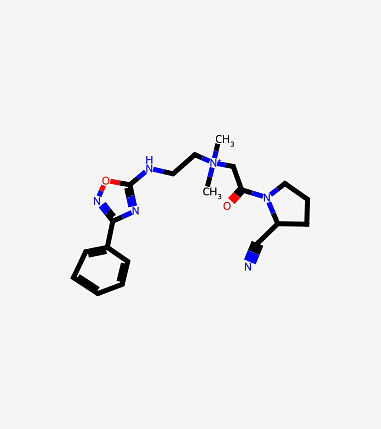 C[N+](C)(CCNc1nc(-c2ccccc2)no1)CC(=O)N1CCCC1C#N